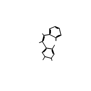 CCC1=C(OC)C2=CC(O)C(O)C=C2Sc2ccccc21